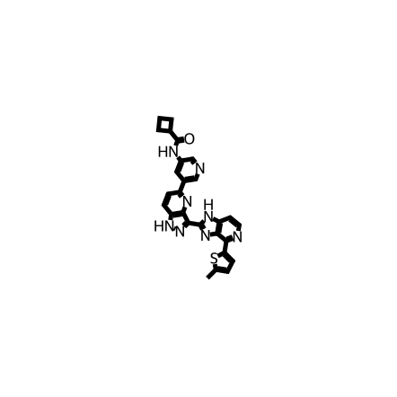 Cc1ccc(-c2nccc3[nH]c(-c4n[nH]c5ccc(-c6cncc(NC(=O)C7CCC7)c6)nc45)nc23)s1